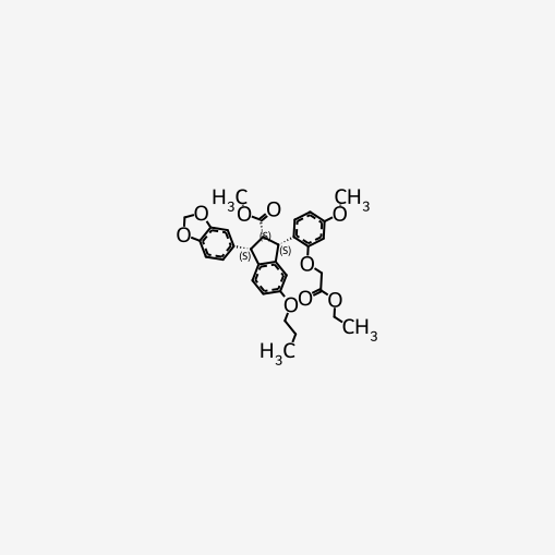 CCCOc1ccc2c(c1)[C@@H](c1ccc(OC)cc1OCC(=O)OCC)[C@@H](C(=O)OC)[C@H]2c1ccc2c(c1)OCO2